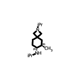 CC(C)N[C@@H]1CCC2(C[C@H]1C)CN(C(C)C)C2